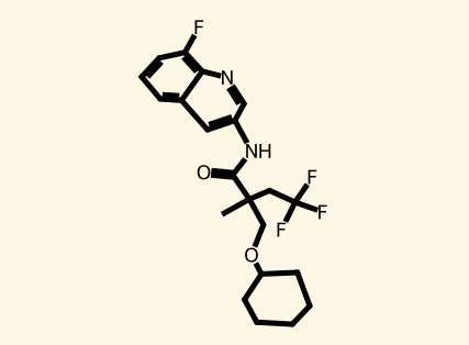 CC(COC1CCCCC1)(CC(F)(F)F)C(=O)Nc1cnc2c(F)cccc2c1